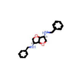 c1ccc(CN[C@H]2COC3C2OC[C@@H]3NCc2ccccc2)cc1